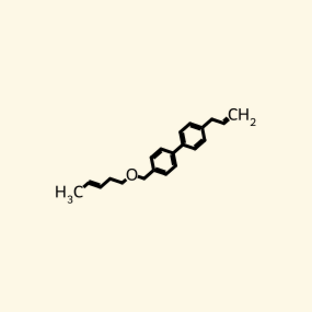 C=CCc1ccc(-c2ccc(COCCC=CC)cc2)cc1